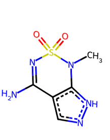 CN1c2[nH]ncc2C(N)=NS1(=O)=O